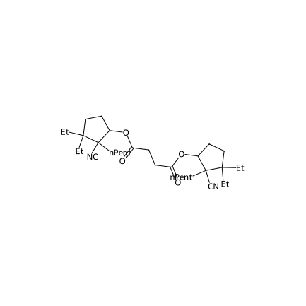 CCCCCC1(C#N)C(OC(=O)CCC(=O)OC2CCC(CC)(CC)C2(C#N)CCCCC)CCC1(CC)CC